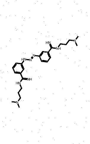 CN(C)CCCNC(=N)c1cccc(/N=N/Nc2cccc(C(=N)NCCCN(C)C)c2)c1